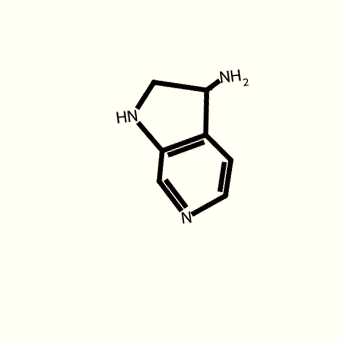 N[C]1CNc2cnccc21